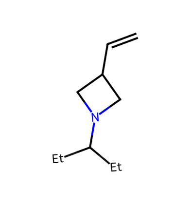 C=CC1CN(C(CC)CC)C1